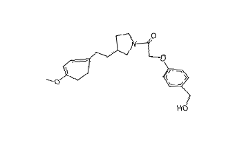 COC1=CC=C(CCC2CCN(C(=O)COc3ccc(CO)cc3)C2)CC1